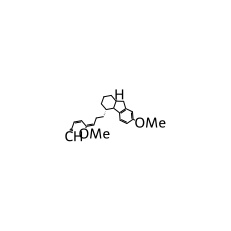 C#C/C=C\C(=C/CC[C@@H]1CCC[C@H]2Cc3cc(OC)ccc3C12)OC